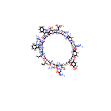 CCCC[C@H]1C(=O)N(C)[C@@H](CCCC)C(=O)N[C@@H](CN)C(=O)N[C@H](C(=O)NCC(N)=O)CSCC(=O)N[C@@H](Cc2ccc(O)cc2)C(=O)N2CCCC[C@H]2C(=O)N[C@@H](CC(N)=O)C(=O)N2CCC[C@H]2C(=O)N[C@@H](CN)C(=O)NC(CCC(=O)O)C(=O)N2C[C@H](O)C[C@H]2C(=O)N[C@@H](Cc2c[nH]c3ccccc23)C(=O)N[C@@H](CCN)C(=O)N[C@@H](Cc2c[nH]c3ccccc23)C(=O)N1C